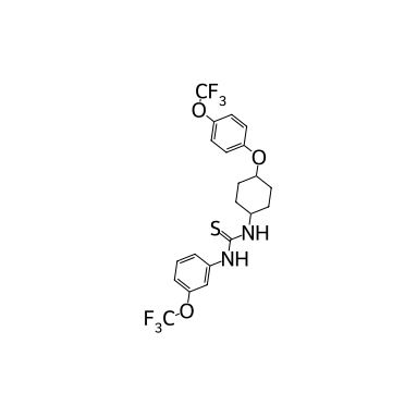 FC(F)(F)Oc1ccc(OC2CCC(NC(=S)Nc3cccc(OC(F)(F)F)c3)CC2)cc1